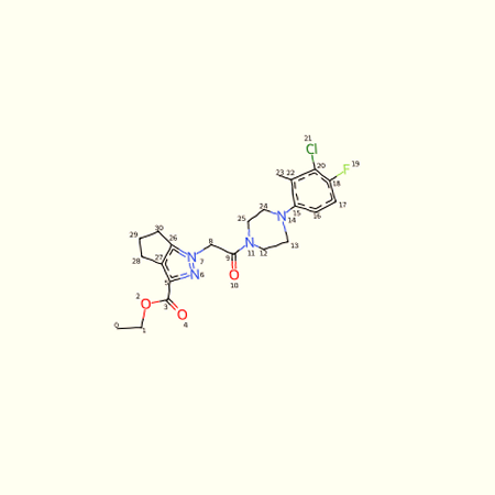 CCOC(=O)c1nn(CC(=O)N2CCN(c3ccc(F)c(Cl)c3C)CC2)c2c1CCC2